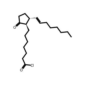 CCCCCCC=C[C@H]1CCC(=O)[C@@H]1CCCCCCC(=O)Cl